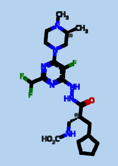 C[C@H]1CN(c2nc(C(F)F)nc(NNC(=O)[C@@H](CNC(=O)O)CC3CCCC3)c2F)CCN1C